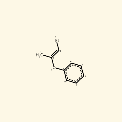 CCC=C(C)Oc1ccccc1